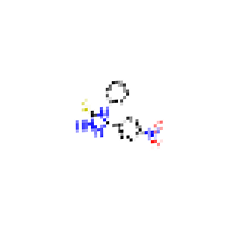 O=[N+]([O-])c1ccc(-c2n[nH]c(=S)n2-c2ccccc2)cc1